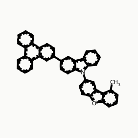 Cc1cccc2oc3ccc(-n4c5ccccc5c5cc(-c6ccc7c8ccccc8c8ccccc8c7c6)ccc54)cc3c12